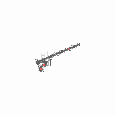 COCCOCCOCCOCCOCCOCCOCCOCCOCCOCC(=O)NCCCCC(NC(=O)CCCN1C(=O)C=CC1=O)C(=O)NC(C)C(=O)NC(C)C(=O)NCC(=O)ON1C(=O)CCC1=O